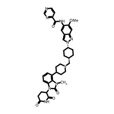 COc1cc2nn([C@H]3CC[C@H](CN4CCC(c5cccc6c5n(C)c(=O)n6C5CCC(=O)NC5=O)CC4)CC3)cc2cc1NC(=O)c1ccncn1